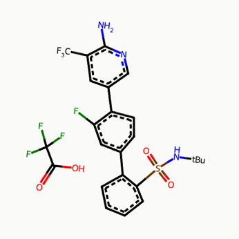 CC(C)(C)NS(=O)(=O)c1ccccc1-c1ccc(-c2cnc(N)c(C(F)(F)F)c2)c(F)c1.O=C(O)C(F)(F)F